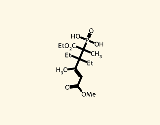 CCOC(=O)C(C)(C(CC)(CC)C(C)=CC(=O)OC)P(=O)(O)O